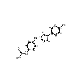 CC(C)C(=O)Nc1ccc(Nc2nc(-c3ccc(Cl)cc3)cs2)cc1